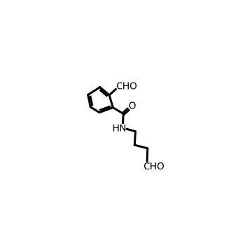 O=CCCCNC(=O)c1ccccc1C=O